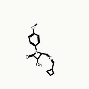 COc1ccc(N2C(=O)C(O)C2C=C=CC2CCC2)cc1